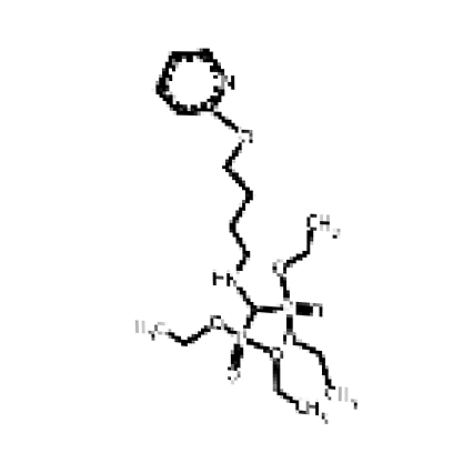 CCOP(=O)(OCC)C(NCCCCOc1ccccn1)P(=O)(OCC)OCC